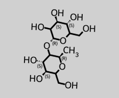 C[C@H]1OC(CO)[C@@H](O)[C@H](O)C1O[C@H]1OC(CO)[C@@H](O)[C@H](O)C1O